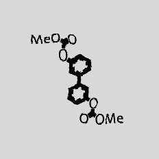 COC(=O)Oc1cccc(-c2cccc(OC(=O)OC)c2)c1